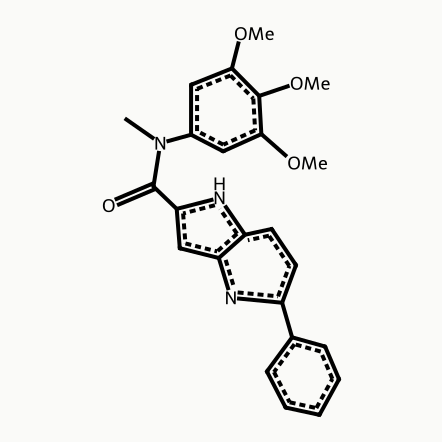 COc1cc(N(C)C(=O)c2cc3nc(-c4ccccc4)ccc3[nH]2)cc(OC)c1OC